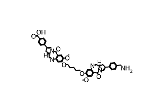 COc1cc2c(cc1OCCCCCOc1cc3c(cc1OC)C(=O)N1C=C(c4ccc(C(=O)O)cc4)C[C@H]1C=N3)N=C[C@@H]1CC(c3ccc(CN)cc3)=CN1C2=O